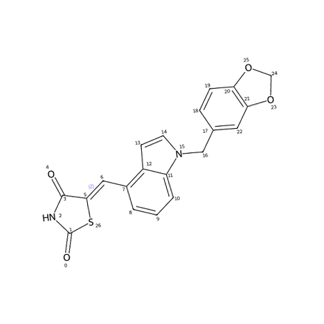 O=C1NC(=O)/C(=C/c2cccc3c2ccn3Cc2ccc3c(c2)OCO3)S1